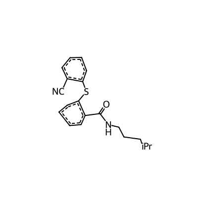 CC(C)CCCNC(=O)c1ccccc1Sc1ccccc1C#N